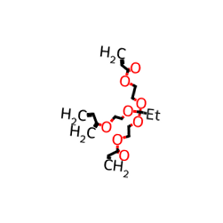 C=CC(=C)OCCOC(CC)(OCCOC(=O)C=C)OCCOC(=O)C=C